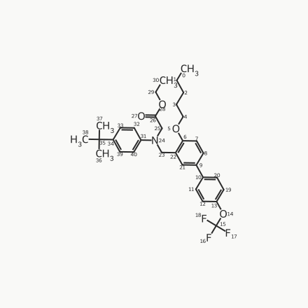 CCCCCOc1ccc(-c2ccc(OC(F)(F)F)cc2)cc1CN(CC(=O)OCC)c1ccc(C(C)(C)C)cc1